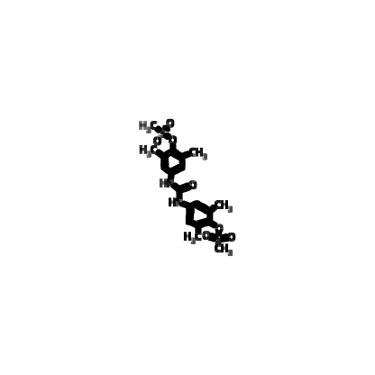 Cc1cc(NC(=O)Nc2cc(C)c(OS(C)(=O)=O)c(C)c2)cc(C)c1OS(C)(=O)=O